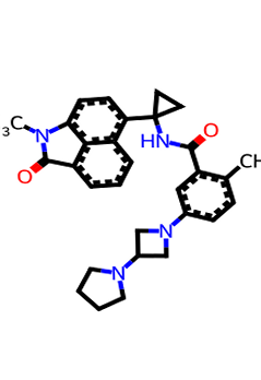 Cc1ccc(N2CC(N3CCCC3)C2)cc1C(=O)NC1(c2ccc3c4c(cccc24)C(=O)N3C)CC1